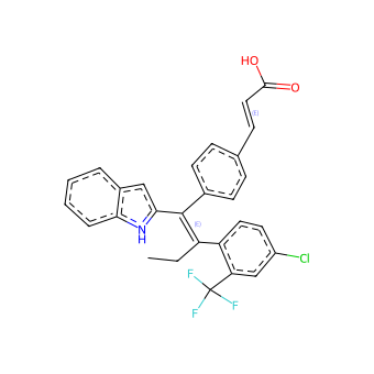 CC/C(=C(/c1ccc(/C=C/C(=O)O)cc1)c1cc2ccccc2[nH]1)c1ccc(Cl)cc1C(F)(F)F